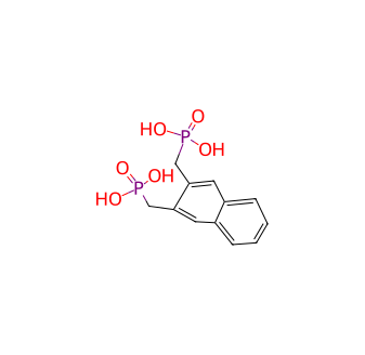 O=P(O)(O)Cc1cc2ccccc2cc1CP(=O)(O)O